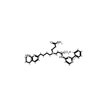 NC(=O)CCN(CCCCc1ccc2c(n1)NCCC2)CC[C@H](Nc1ccnc(-c2ccccc2)n1)C(=O)O